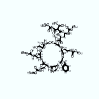 CCC[C@@H](O)C(C(=O)N[C@@H](CCNC(=O)OC(C)(C)C)C(=O)N[C@H]1CCNC(=O)[C@H]([C@@H](C)O)NC(=O)[C@H](CCNC(=O)OC(C)(C)C)NC(=O)[C@H](CCNC(=O)OC(C)(C)C)NC(=O)[C@H](CC(C)C)NC(=O)[C@@H](Cc2ccccc2)NC[C@H](CCNC(=O)OC(C)(C)C)NC1=O)C(O)NC(=O)OC(C)(C)C